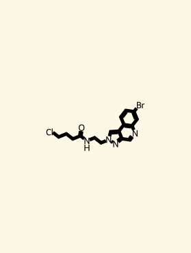 O=C(CCCCl)NCCn1cc2c(cnc3cc(Br)ccc32)n1